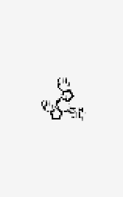 CC[C@H]1CC[C@H](CC)N1C=[N+]1[C@@H](CC)CC[C@@H]1CC